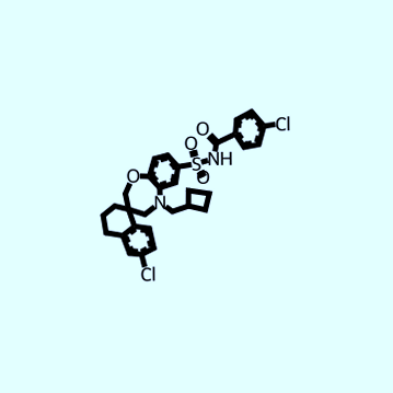 O=C(NS(=O)(=O)c1ccc2c(c1)N(CC1CCC1)CC1(CCCc3cc(Cl)ccc31)CO2)c1ccc(Cl)cc1